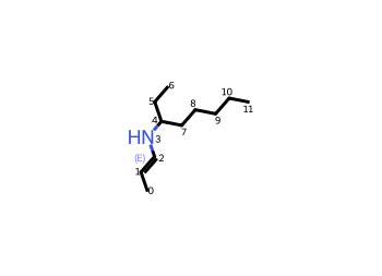 C/C=C/NC(CC)CCCCC